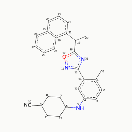 Cc1ccc(NC2CCC(C#N)CC2)cc1-c1noc(C(C)c2cccc3ccccc23)n1